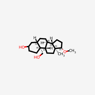 CO[C@H]1CC[C@H]2[C@@H]3CC[C@H]4CC(O)CC[C@]4(CO)[C@H]3CC[C@]12C